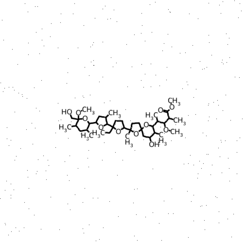 CCC1(C2OC(C3OC(CO)(OC)C(C)CC3C)CC2C)CCC(C2(C)CCC3(CC(O)C(C)C(C(C)C(OC)C(C)C(=O)OC)O3)O2)O1